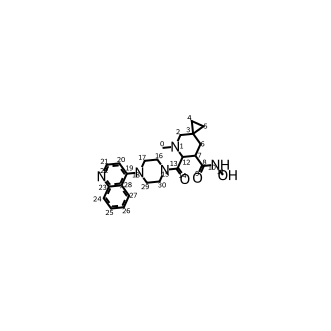 CN1CC2(CC2)CC(C(=O)NO)C1C(=O)N1CCN(c2ccnc3ccccc23)CC1